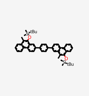 Cc1c(O[Si](C)(C)C(C)(C)C)c2ccccc2c2ccc(-c3ccc(-c4ccc5c(c4)c(O[Si](C)(C)C(C)(C)C)c(C)c4ccccc45)cc3)cc12